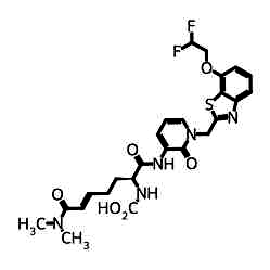 CN(C)C(=O)/C=C/CC[C@H](NC(=O)O)C(=O)Nc1cccn(Cc2nc3cccc(OCC(F)F)c3s2)c1=O